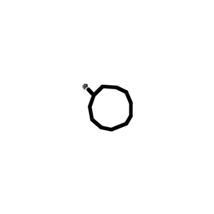 [P]C1CCCCCCCCCC1